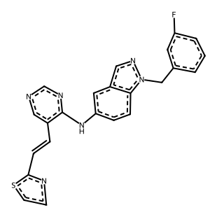 Fc1cccc(Cn2ncc3cc(Nc4ncncc4C=Cc4nccs4)ccc32)c1